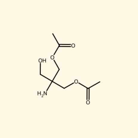 CC(=O)OCC(N)(CO)COC(C)=O